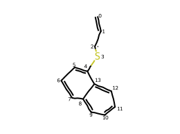 C=C[CH]Sc1cccc2ccccc12